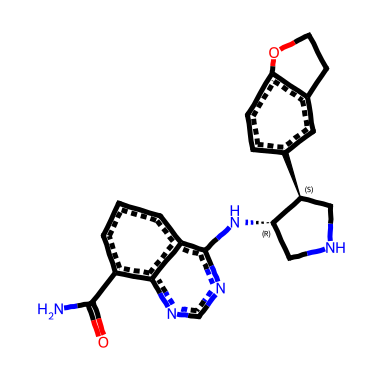 NC(=O)c1cccc2c(N[C@H]3CNC[C@@H]3c3ccc4c(c3)CCO4)ncnc12